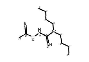 CCCCN(CCCC)C(=N)NOC(C)=O